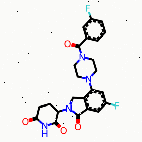 O=C1CCC(N2Cc3c(cc(F)cc3N3CCN(C(=O)c4cccc(F)c4)CC3)C2=O)C(=O)N1